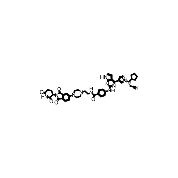 N#CC[C@@H](C1CCCC1)n1cc(-c2nc(Nc3ccc(C(=O)NCCN4CCN(c5ccc6c(c5)C(=O)N(C5CCC(=O)NC5=O)C6=O)CC4)cc3)nc3[nH]ccc23)cn1